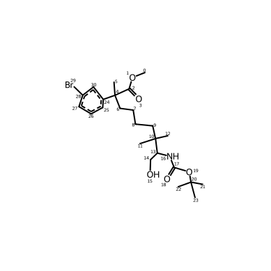 COC(=O)C(C)(CCCCC(C)(C)C(CO)NC(=O)OC(C)(C)C)c1cccc(Br)c1